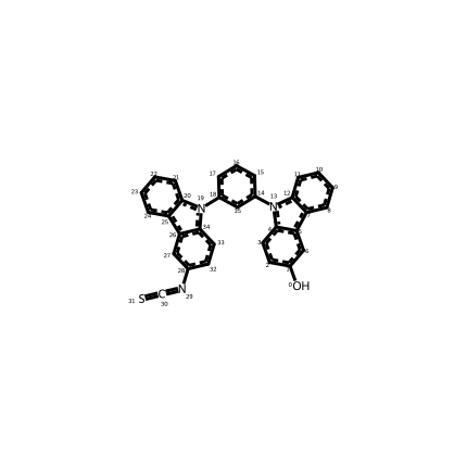 Oc1ccc2c(c1)c1ccccc1n2-c1cccc(-n2c3ccccc3c3cc(N=C=S)ccc32)c1